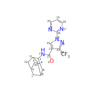 O=C(NC1C2CC3CC(C2)CC1C3)c1cn(-c2ncccn2)nc1C(F)(F)F